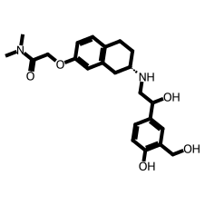 CN(C)C(=O)COc1ccc2c(c1)C[C@@H](NCC(O)c1ccc(O)c(CO)c1)CC2